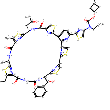 CNC(=O)C[C@@H]1NC(=O)c2csc(n2)-c2ccc(-c3nc(N(CC(=O)O)C(=O)O[C@H]4C[C@H](C(=O)O)C4)cs3)nc2-c2csc(n2)-c2csc(n2)[C@H]([C@@H](O)c2ccccc2)NC(=O)CNC(=O)c2nc(sc2COC)C(C(C)C)NC(=O)c2nc1sc2C